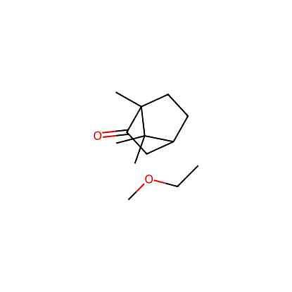 CC12CCC(CC1=O)C2(C)C.CCOC